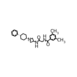 Cc1cc(C)cc(C(=O)NCC(=O)NC2CN([C@H]3CC[C@@H](c4ccccc4)CC3)C2)c1